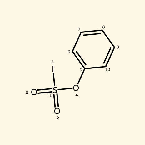 O=S(=O)(I)Oc1ccccc1